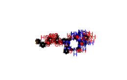 CC(c1ccccc1)C1NC(=O)CNC(=O)C(CO)NC(=O)C(C(O)C2CNC(=N)N2C2OC(CO)C(O)C(O)C2O)NC(=O)C(C(O)C2CNC(=N)N2)NC(=O)C(Cc2ccc(OC3OC(CO)C(OC4OC5COC(c6cccc(-c7ccsc7)c6)OC5C(O)C4O)C(O)C3O)cc2)NC1=O